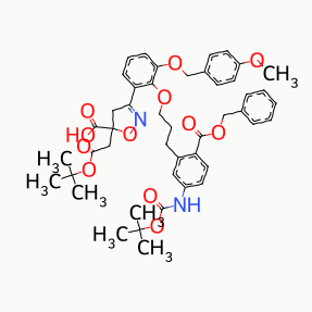 COc1ccc(COc2cccc(C3=NOC(CC(=O)OC(C)(C)C)(C(=O)O)C3)c2OCCCc2cc(NC(=O)OC(C)(C)C)ccc2C(=O)OCc2ccccc2)cc1